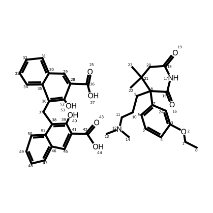 CCOc1cccc(C2(CCCN(C)C)C(=O)NC(=O)CC2(C)C)c1.O=C(O)c1cc2ccccc2c(Cc2c(O)c(C(=O)O)cc3ccccc23)c1O